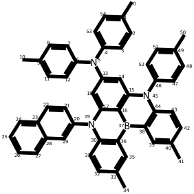 Cc1ccc(N(c2ccc(C)cc2)c2cc3c4c(c2)N(c2ccc5ccccc5c2)c2ccc(C)cc2B4c2cc(C)ccc2N3c2ccc(C)cc2)cc1